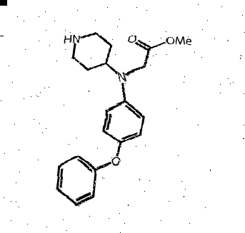 COC(=O)CN(c1ccc(Oc2ccccc2)cc1)C1CCNCC1